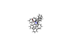 c1ccc(-c2cc(-c3ccccc3)nc(-c3cccc4c3C3(c5ccccc5-4)c4ccccc4-c4c3cc3c5c(cccc45)-c4ccccc4-3)c2)cc1